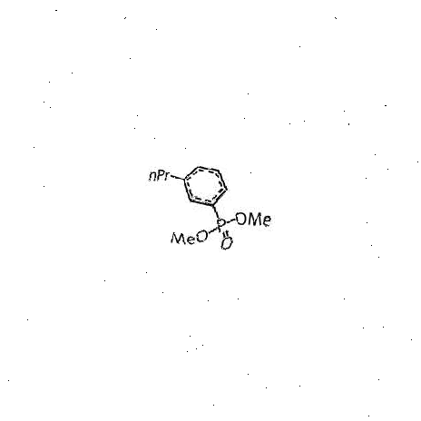 CCCc1cccc(P(=O)(OC)OC)c1